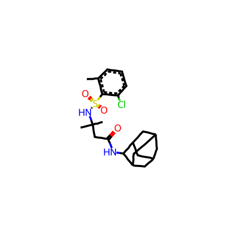 Cc1cccc(Cl)c1S(=O)(=O)NC(C)(C)CC(=O)NC1C2CC3CC(C2)CC1C3